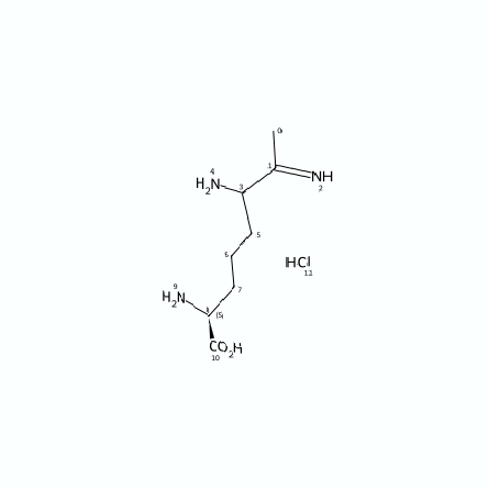 CC(=N)C(N)CCC[C@H](N)C(=O)O.Cl